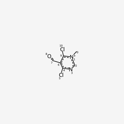 C[n+]1cnc(Cl)c(C=O)c1Cl